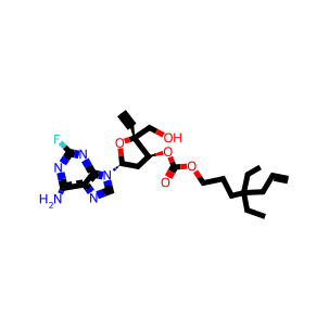 C#C[C@]1(CO)O[C@@H](n2cnc3c(N)nc(F)nc32)C[C@@H]1OC(=O)OCCCC(CC)(CC)CC=C